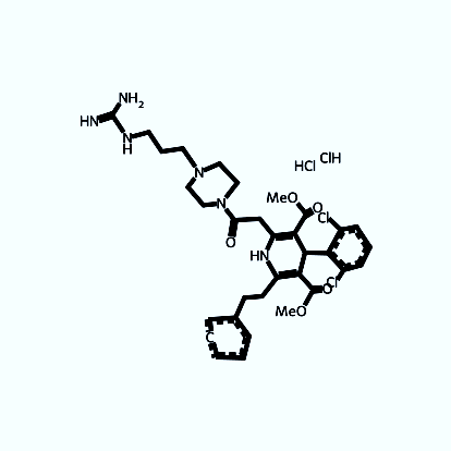 COC(=O)C1=C(CCc2ccccc2)NC(CC(=O)N2CCN(CCCNC(=N)N)CC2)=C(C(=O)OC)C1c1c(Cl)cccc1Cl.Cl.Cl